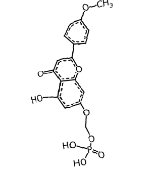 COc1ccc(-c2cc(=O)c3c(O)cc(OCOP(=O)(O)O)cc3o2)cc1